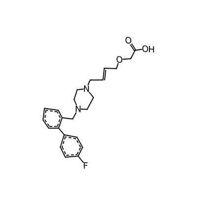 O=C(O)COCC=CCN1CCN(Cc2ccccc2-c2ccc(F)cc2)CC1